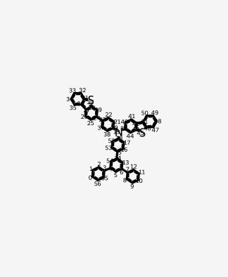 c1ccc(-c2cc(-c3ccccc3)cc(-c3ccc(N(c4ccc(-c5ccc6c(c5)sc5ccccc56)cc4)c4ccc5c(c4)sc4ccccc45)cc3)c2)cc1